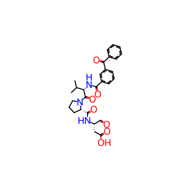 CC(C)[C@H](NC(=O)c1cccc(C(=O)c2ccccc2)c1)C(=O)N1CCC[C@H]1C(=O)N[C@H](C=O)CC(=O)O